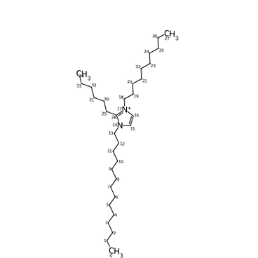 CCCCCCCCCCCCCCn1cc[n+](CCCCCCCCCC)c1CCCCCC